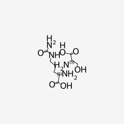 NC(=O)NCCC[C@H](N)C(=O)O.N[C@@H](CO)C(=O)O